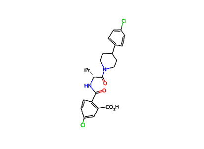 CC(C)[C@@H](NC(=O)c1ccc(Cl)cc1C(=O)O)C(=O)N1CCC(c2ccc(Cl)cc2)CC1